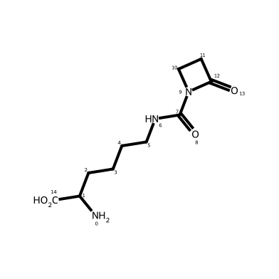 NC(CCCCNC(=O)N1CCC1=O)C(=O)O